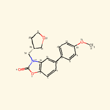 O=c1oc2ccc(-c3ccc(OC(F)(F)F)cc3)cc2n1C[C@@H]1CCOC1